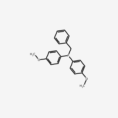 COc1ccc(P(Cc2ccccc2)c2ccc(OC)cc2)cc1